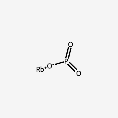 O=P(=O)[O-].[Rb+]